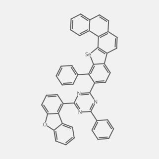 c1ccc(-c2nc(-c3ccc4c([se]c5c4ccc4ccc6ccccc6c45)c3-c3ccccc3)nc(-c3cccc4oc5ccccc5c34)n2)cc1